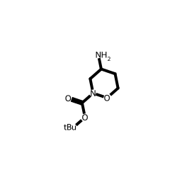 CC(C)(C)OC(=O)N1CC(N)CCO1